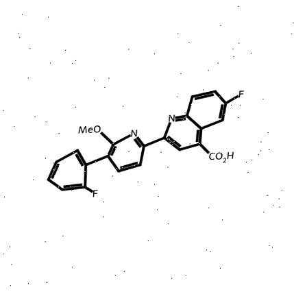 COc1nc(-c2cc(C(=O)O)c3cc(F)ccc3n2)ccc1-c1ccccc1F